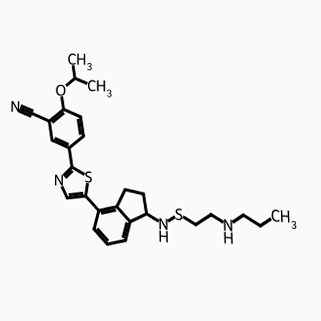 CCCNCCSNC1CCc2c(-c3cnc(-c4ccc(OC(C)C)c(C#N)c4)s3)cccc21